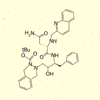 CC(C)(C)OC(=O)N1Cc2ccccc2CN1CC(O)[C@H](Cc1ccccc1)NC(=O)[C@H](CC(N)=O)NCc1ccc2ccccc2n1